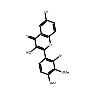 COc1ccc(-c2oc3ccc(C)cc3c(=O)c2O)c(Br)c1OC